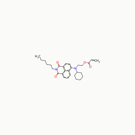 C=CC(=O)OCCN(c1ccc2c3c(cccc13)C(=O)N(CCCCCC)C2=O)C1CCCCC1